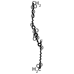 C=CC(=O)OCCCCCCCCCCCOc1ccc(C#CC(=O)Oc2ccc(OC(=O)C3CCC(OCCCCCOCCOCCOC(=O)C=C)CC3)cn2)c(F)c1